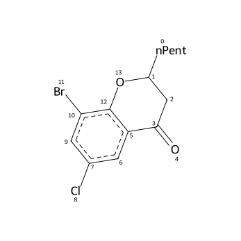 CCCCCC1CC(=O)c2cc(Cl)cc(Br)c2O1